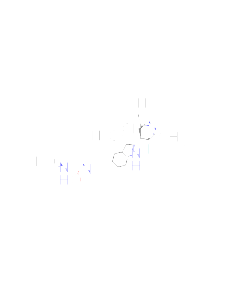 CNCC(=O)N1CCC(c2ccc3[nH]c(-c4cc(C)nc(C)c4F)c(C(C)C)c3c2)CC1